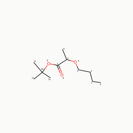 CCCCOC(C)C(=O)OC(C)(C)C